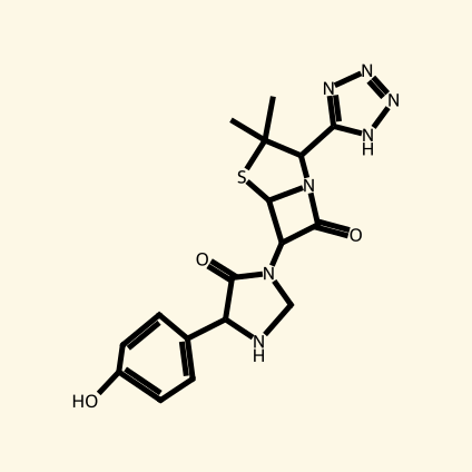 CC1(C)SC2C(N3CNC(c4ccc(O)cc4)C3=O)C(=O)N2C1c1nnn[nH]1